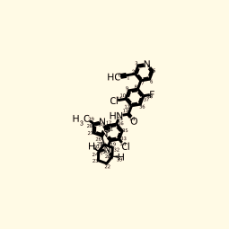 C#Cc1cnccc1-c1cc(Cl)c(C(=O)Nc2cnc(N3[C@H]4CC[C@@H]3[C@@H](c3cc(C)no3)C4)c(Cl)c2)cc1F